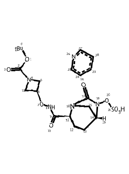 CC(C)(C)OC(=O)N1CC(ONC(=O)[C@@H]2CC[C@@H]3CN2C(=O)N3OS(=O)(=O)O)C1.c1ccncc1